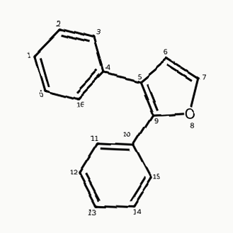 [c]1cccc(-c2ccoc2-c2ccccc2)c1